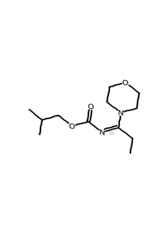 CC/C(=N/C(=O)OCC(C)C)N1CCOCC1